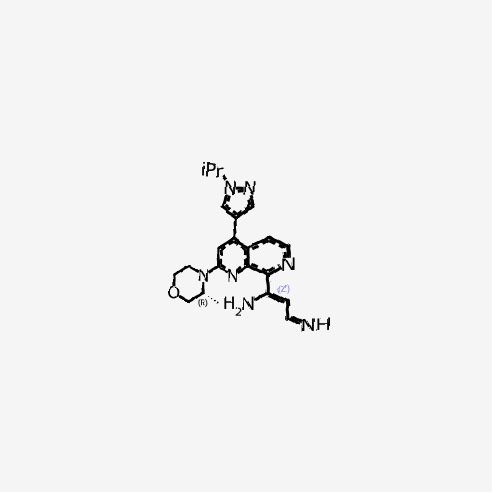 CC(C)n1cc(-c2cc(N3CCOC[C@H]3C)nc3c(/C(N)=C/C=N)nccc23)cn1